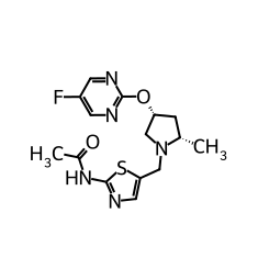 CC(=O)Nc1ncc(CN2C[C@H](Oc3ncc(F)cn3)C[C@@H]2C)s1